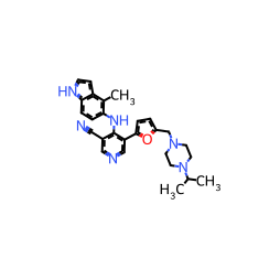 Cc1c(Nc2c(C#N)cncc2-c2ccc(CN3CCN(C(C)C)CC3)o2)ccc2[nH]ccc12